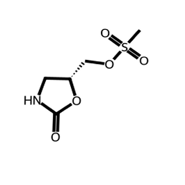 CS(=O)(=O)OC[C@H]1CNC(=O)O1